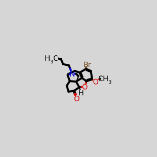 CCCCN1CC[C@@]23c4c5c(Br)cc(OC)c4O[C@@H]2C(=O)CCC3C1C5